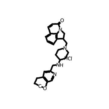 Cl.O=c1ccc2cccc3c2n1CC3CN1CCC(NCc2cc3c(cn2)OCCC3)CC1